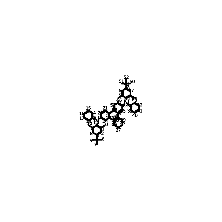 Cc1cc(C(C)(C)C)cc(C)c1N(c1ccccc1)c1ccc2c(c1)C13CCCCC1(CCC3)c1cc(N(c3ccccc3)c3c(C)cc(C(C)(C)C)cc3C)ccc1-2